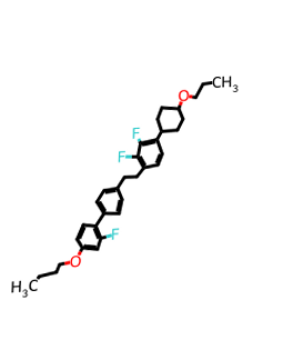 CCCCOc1ccc(-c2ccc(CCc3ccc(C4CCC(OCCC)CC4)c(F)c3F)cc2)c(F)c1